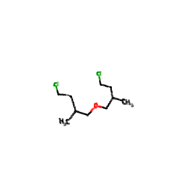 CC(CCCl)COCC(C)CCCl